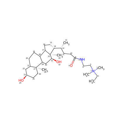 CC[N+](C)(C)CCNC(=O)CC[C@@H](C)[C@H]1CCC2C3CCC4C[C@H](O)CC[C@]4(C)C3C[C@H](O)[C@@]21C